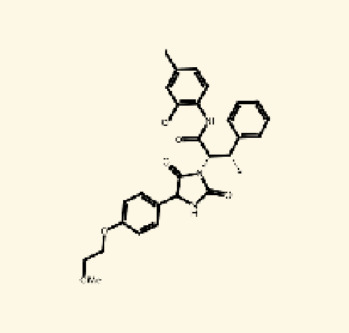 COCCOc1ccc(C2NC(=O)N([C@H](C(=O)Nc3ccc(I)cc3Cl)[C@@H](C)c3ccccc3)C2=O)cc1